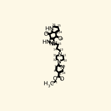 CCOC(=O)c1ccc(N2CCN(CCCN3NNC4=C3C(=O)C3=CC=CNC3C4=O)CC2)nc1